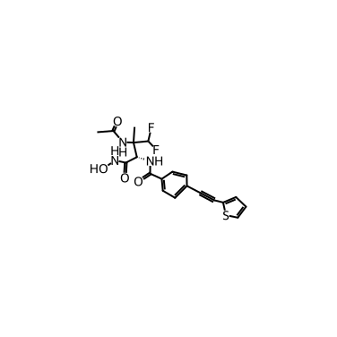 CC(=O)NC(C)(C(F)F)[C@H](NC(=O)c1ccc(C#Cc2cccs2)cc1)C(=O)NO